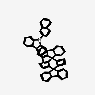 c1ccc2c(c1)-c1ccccc1C21c2ccccc2C2(c3ccccc3-c3ccccc32)c2c(-c3ccc4c(c3)c3ccccc3n4-c3ccc4ccccc4c3)cccc21